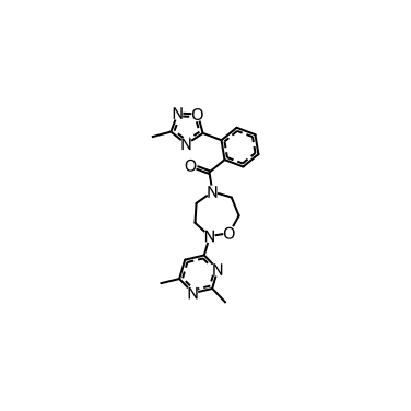 Cc1cc(N2CCN(C(=O)c3ccccc3-c3nc(C)no3)CCO2)nc(C)n1